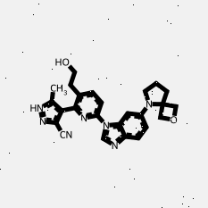 Cc1[nH]nc(C#N)c1-c1nc(-n2cnc3ccc(N4CCCC45COC5)cc32)ccc1CCO